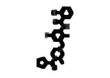 Cc1c(CN2CCN(C(=O)C3CCCC3)C(C)C2)cc(F)cc1NC(=O)c1ccccc1Cl